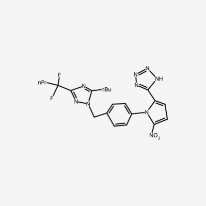 CCCCc1nc(C(F)(F)CCC)nn1Cc1ccc(-n2c(-c3nnn[nH]3)ccc2[N+](=O)[O-])cc1